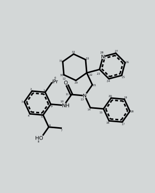 CC(C)c1cccc(C(C)O)c1NC(=O)N(Cc1ccccc1)CC1(c2ccccn2)CCCCC1